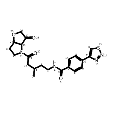 CC(CCNC(=O)c1ccc(-c2csnn2)cc1)CC(=O)N1CCC2OCC(=O)C21